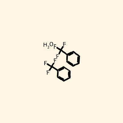 FC(F)(F)c1ccccc1.FC(F)(F)c1ccccc1.O